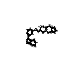 OC(COc1cccc(-c2noc3ncccc23)c1)CN1CCc2sccc2C1